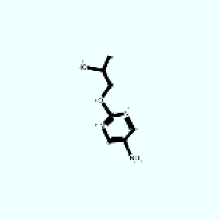 CC(O)COc1ncc([N+](=O)[O-])cn1